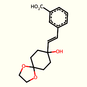 O=C(O)c1cccc(/C=C/C2(O)CCC3(CC2)OCCO3)c1